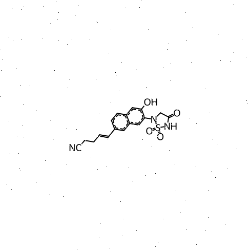 N#CCCC=Cc1ccc2cc(O)c(N3CC(=O)NS3(=O)=O)cc2c1